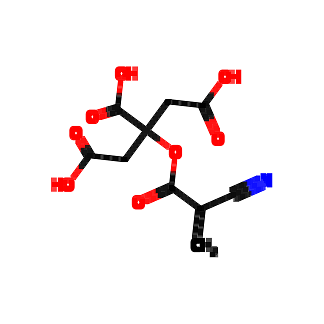 C=C(C#N)C(=O)OC(CC(=O)O)(CC(=O)O)C(=O)O